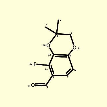 CC1(C)COc2ccc(C=O)c(F)c2O1